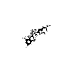 CC(C)c1cc(F)cc(C(C)C)c1NC(=O)NS(=O)(=O)c1cc(CN(C)C(C)C)n(C)n1.[Na]